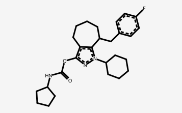 O=C(NC1CCCC1)Oc1nn(C2CCCCC2)c2c1CCCCC2Cc1ccc(F)cc1